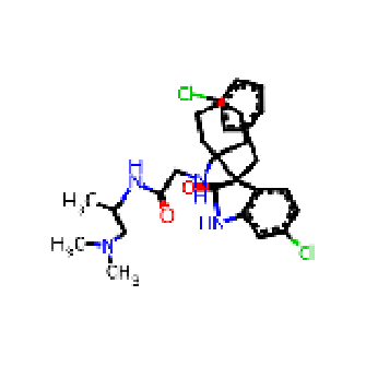 CC(CN(C)C)NC(=O)CNC1(C2(Cc3cccc(Cl)c3)C(=O)Nc3cc(Cl)ccc32)CCCCC1